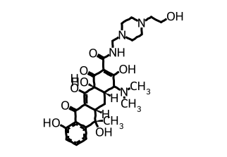 CN(C)C1C(O)=C(C(=O)NCN2CCN(CCO)CC2)C(=O)[C@@]2(O)C(O)=C3C(=O)c4c(O)cccc4[C@@](C)(O)[C@H]3C[C@@H]12